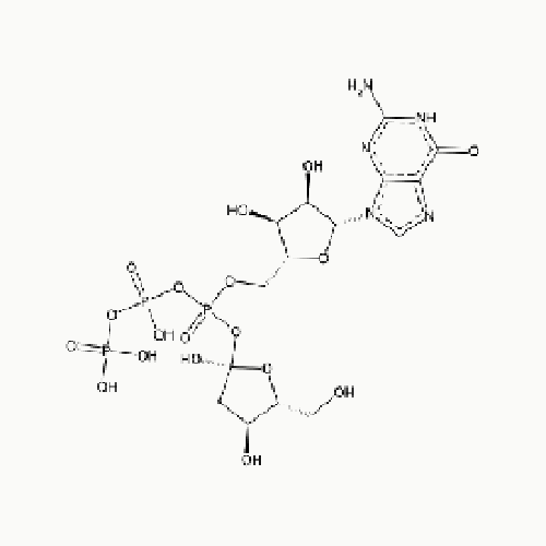 Nc1nc2c(ncn2[C@@H]2O[C@H](COP(=O)(O[C@]3(O)C[C@H](O)[C@@H](CO)O3)OP(=O)(O)OP(=O)(O)O)[C@@H](O)[C@H]2O)c(=O)[nH]1